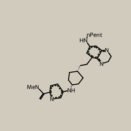 C=C(NC)c1ccc(N[C@H]2CC[C@@H](CCc3cc(NCCCCC)cc4c3=NCCN=4)CC2)cn1